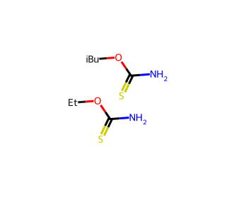 CCC(C)OC(N)=S.CCOC(N)=S